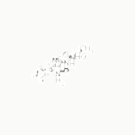 CC(O)CNC(=O)Nc1snc(SCc2ccccc2)c1C(N)=O